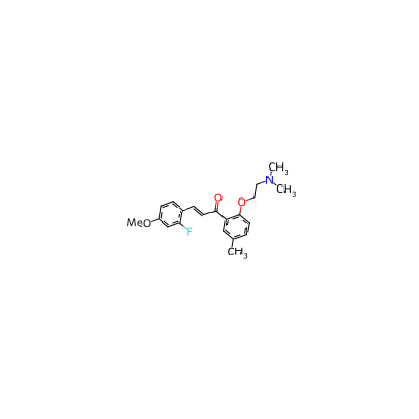 COc1ccc(C=CC(=O)c2cc(C)ccc2OCCN(C)C)c(F)c1